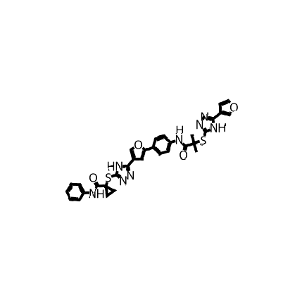 CC(C)(Sc1nnc(-c2ccoc2)[nH]1)C(=O)Nc1ccc(-c2cc(-c3nnc(SC4(C(=O)Nc5ccccc5)CC4)[nH]3)co2)cc1